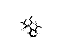 [CH2]CCN(C(=O)C(C)C)c1cccnc1C(C)O